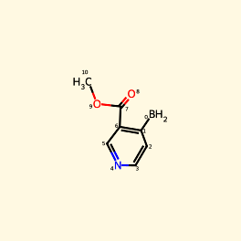 Bc1ccncc1C(=O)OC